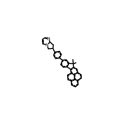 CC1(C)c2cc(-c3ccc(C4CC5N=CC=CN5C4)cc3)ccc2-c2c1cc1ccc3cccc4ccc2c1c34